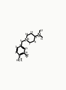 CCc1ccc(CN2CCC(N(C)C)CC2)cc1F